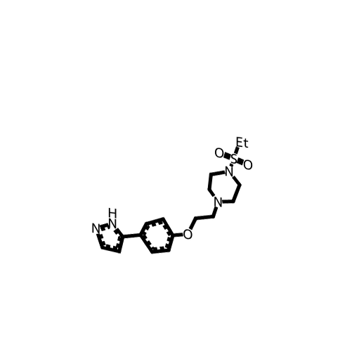 CCS(=O)(=O)N1CCN(CCOc2ccc(-c3ccn[nH]3)cc2)CC1